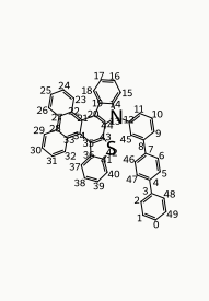 c1ccc(-c2ccc(-c3cccc(-n4c5ccccc5c5c6c7ccccc7c7ccccc7c6c6c7ccccc7sc6c54)c3)cc2)cc1